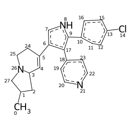 CC1CC2C=C(c3c[nH]c(-c4ccc(Cl)cc4)c3-c3ccncc3)CCN2C1